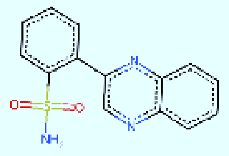 NS(=O)(=O)c1ccccc1-c1cnc2ccccc2n1